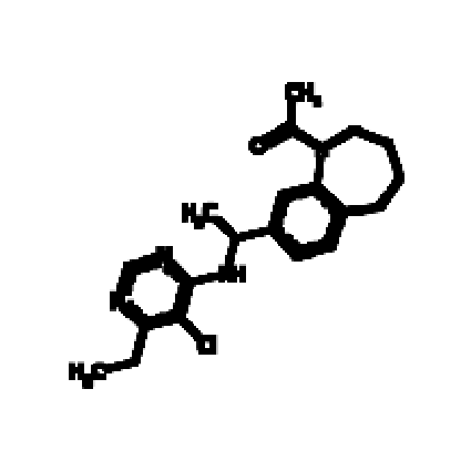 CCc1ncnc(NC(C)c2ccc3c(c2)N(C(C)=O)CCCC3)c1Cl